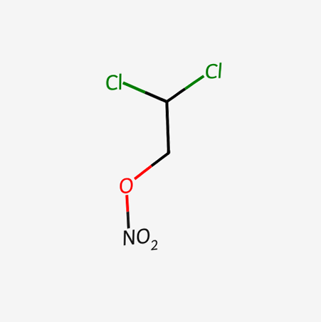 O=[N+]([O-])OCC(Cl)Cl